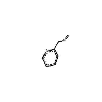 C=NCc1ccccn1